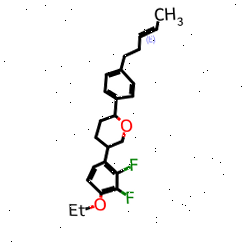 C/C=C/CCc1ccc(C2CCC(c3ccc(OCC)c(F)c3F)CO2)cc1